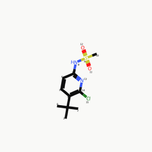 CC(C)(C)c1ccc(NS(C)(=O)=O)nc1Cl